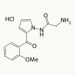 COc1ccccc1C(=O)c1cccn1NC(=O)CN.Cl